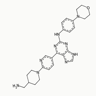 NCC1CCN(c2ccc(-c3nc(Nc4ccc(N5CCOCC5)cc4)nc4[nH]cnc34)cn2)CC1